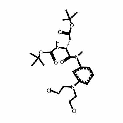 CN(C(=O)[C@@H](CC(=O)OC(C)(C)C)NC(=O)OC(C)(C)C)c1cccc(N(CCCl)CCCl)c1